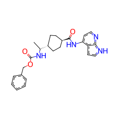 CC(NC(=O)OCc1ccccc1)[C@H]1CC[C@H](C(=O)Nc2ccnc3[nH]ccc23)CC1